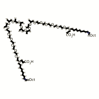 CCCCCCCC/C=C\CCCCCCCCN(CCOCCOCCOCCOCCOCCOCC(C)OCC(C)OCC(C)OCC(C)OCC(C)OCC(C)OCC(C)OCC(C)OCCOCCOCCOCCOCCOCCN(CCCCCCCC/C=C\CCCCCCCC)CCC(=O)O)CCC(=O)O